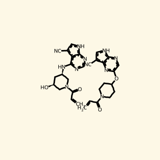 C=CC(=O)N1CCC(Oc2cnc3[nH]cc(C#N)c3n2)CC1.C=CC(=O)N1C[C@@H](O)C[C@@H](Nc2ncnc3[nH]cc(C#N)c23)C1